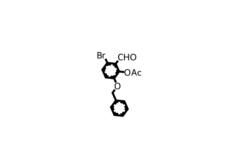 CC(=O)Oc1c(OCc2ccccc2)ccc(Br)c1C=O